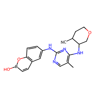 Cc1cnc(Nc2ccc3c(c2)C=CB(O)O3)nc1NC1COCCC1C#N